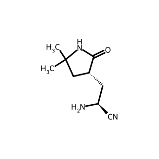 CC1(C)C[C@@H](C[C@H](N)C#N)C(=O)N1